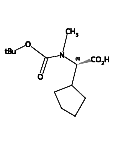 CN(C(=O)OC(C)(C)C)[C@H](C(=O)O)C1CCCC1